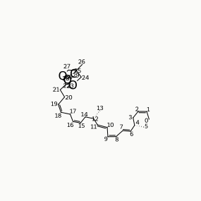 C/C=C\C[C@H](C)/C=C/C=C\C=C\[C@@H](C)C/C=C\C/C=C\CCC12OCC(C)(CO1)CO2